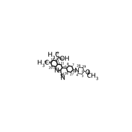 COC1CCN(c2ccc(-c3cc4c(C(C)O)cc(C)cc4nc3C#N)cc2)CC1